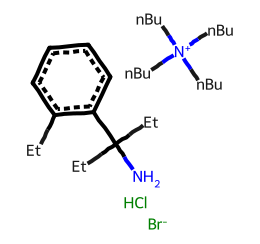 CCCC[N+](CCCC)(CCCC)CCCC.CCc1ccccc1C(N)(CC)CC.Cl.[Br-]